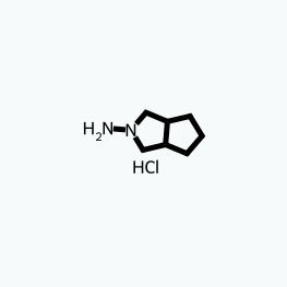 Cl.NN1CC2CCCC2C1